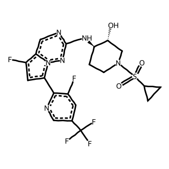 O=S(=O)(C1CC1)N1CC[C@@H](Nc2ncc3c(F)cc(-c4ncc(C(F)(F)F)cc4F)n3n2)[C@H](O)C1